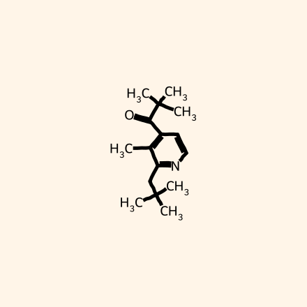 Cc1c(C(=O)C(C)(C)C)ccnc1CC(C)(C)C